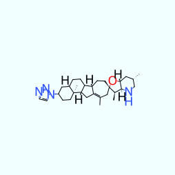 CC1=C2C[C@H]3C(CC[C@@H]4C[C@H](n5ccnn5)CC[C@@]43C)[C@@H]2CC[C@@]2(C1)O[C@@H]1C[C@H](C)CN[C@H]1[C@H]2C